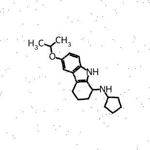 CC(C)Oc1ccc2[nH]c3c(c2c1)CCCC3NC1CCCC1